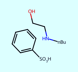 CCCCNCCO.O=S(=O)(O)c1ccccc1